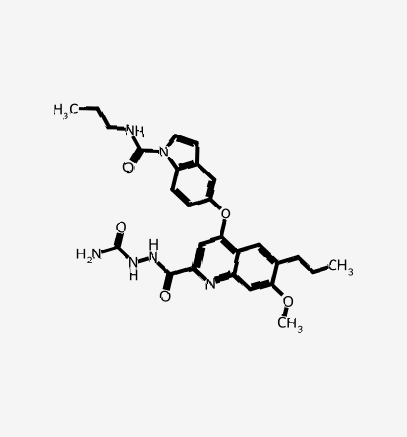 CCCNC(=O)n1ccc2cc(Oc3cc(C(=O)NNC(N)=O)nc4cc(OC)c(CCC)cc34)ccc21